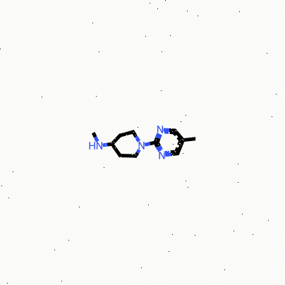 CNC1CCN(c2ncc(C)cn2)CC1